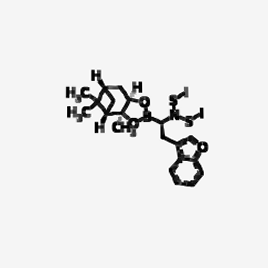 CC1(C)[C@@H]2C[C@H]3OB([C@H](Cc4coc5ccccc45)N(SI)SI)O[C@@]3(C)[C@H]1C2